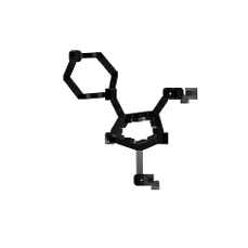 Cc1nc(C(=O)O)c(N2CCOCC2)s1